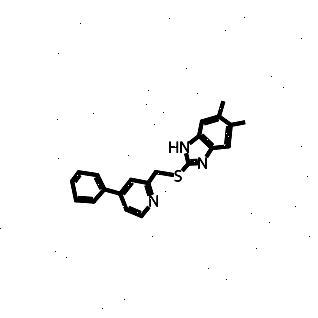 Cc1cc2nc(SCc3cc(-c4ccccc4)ccn3)[nH]c2cc1C